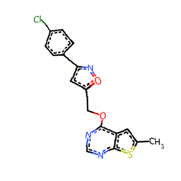 Cc1cc2c(OCc3cc(-c4ccc(Cl)cc4)no3)ncnc2s1